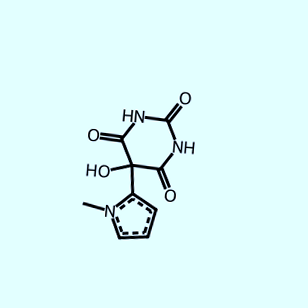 Cn1cccc1C1(O)C(=O)NC(=O)NC1=O